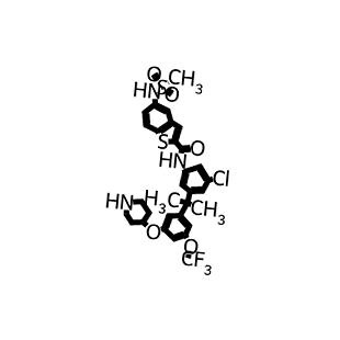 CC(C)(c1cc(Cl)cc(NC(=O)c2cc3cc(NS(C)(=O)=O)ccc3s2)c1)c1cc(OC2CCNCC2)cc(OC(F)(F)F)c1